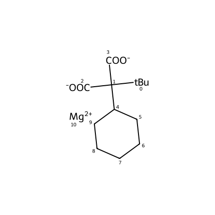 CC(C)(C)C(C(=O)[O-])(C(=O)[O-])C1CCCCC1.[Mg+2]